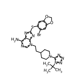 CC(C)(C)n1nnnc1N1CCC(CCn2cnc(N)c3nc(Sc4cc5c(cc4Br)OCO5)nc2-3)CC1